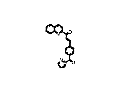 O=C(C=Cc1ccc(C(=O)n2cccn2)cc1)c1ccc2ccccc2n1